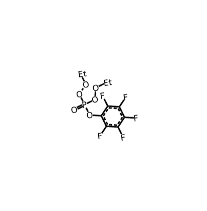 CCOOP(=O)(OOCC)Oc1c(F)c(F)c(F)c(F)c1F